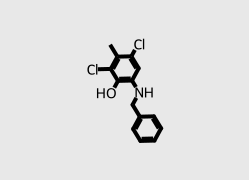 Cc1c(Cl)cc(NCc2ccccc2)c(O)c1Cl